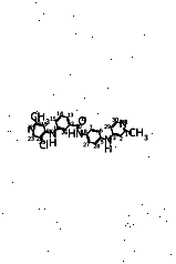 Cc1cc(Nc2ccc(NC(=O)c3cccc(Nc4cc(C)ncc4Cl)c3)cc2)ccn1